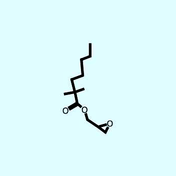 CCCCCC(C)(C)C(=O)OCC1CO1